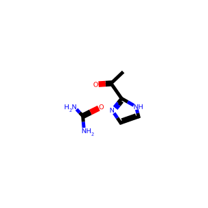 CC(=O)c1ncc[nH]1.NC(N)=O